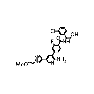 COCCn1cc(-c2cnc(N)c(-c3ccc(C(=O)NC(CO)c4cccc(Cl)c4)c(F)c3)c2)cn1